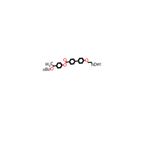 CCCCCCCCCCCCOc1ccc(-c2ccc(C(=O)Oc3ccc(C(C)OCCCC)cc3)cc2)cc1